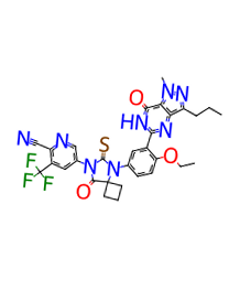 CCCc1nn(C)c2c(=O)[nH]c(-c3cc(N4C(=S)N(c5cnc(C#N)c(C(F)(F)F)c5)C(=O)C45CCC5)ccc3OCC)nc12